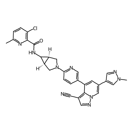 Cc1ccc(Cl)c(C(=O)NC2[C@H]3CN(c4ccc(-c5cc(-c6cnn(C)c6)cn6ncc(C#N)c56)cn4)C[C@@H]23)n1